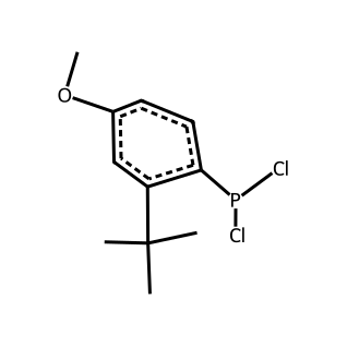 COc1ccc(P(Cl)Cl)c(C(C)(C)C)c1